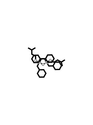 CC(C)CC[O][Sn]([CH2]C1CCCCC1)([CH2]C1CCCCC1)[O][Sn]([CH2]C1CCCCC1)([CH2]C1CCCCC1)[O]CCC(C)C